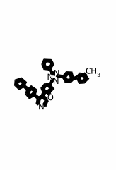 Cc1cccc(-c2ccc(-c3nc(-c4ccccc4)nc(-c4ccc5c(c4)oc4cncc(-c6ccc(-c7ccccc7)cc6)c45)n3)cc2)c1